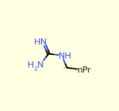 [CH2]CC[CH]NC(=N)N